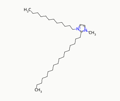 CCCCCCCCCCCCCCCCCc1n(C)cc[n+]1CCCCCCCCCCCC